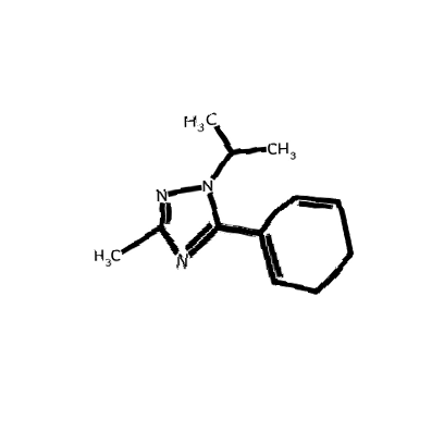 Cc1nc(C2=CCCC=C2)n(C(C)C)n1